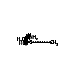 CCCCCCCCCCCCCCCCCCSCCCOP(=O)(O)CO[C@H](C)Cn1cnc2c(N)ncnc21